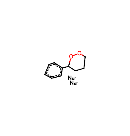 [Na].[Na].c1ccc(C2CCCOO2)cc1